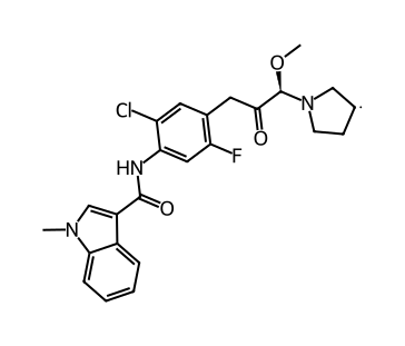 CO[C@H](C(=O)Cc1cc(Cl)c(NC(=O)c2cn(C)c3ccccc23)cc1F)N1C[CH]CC1